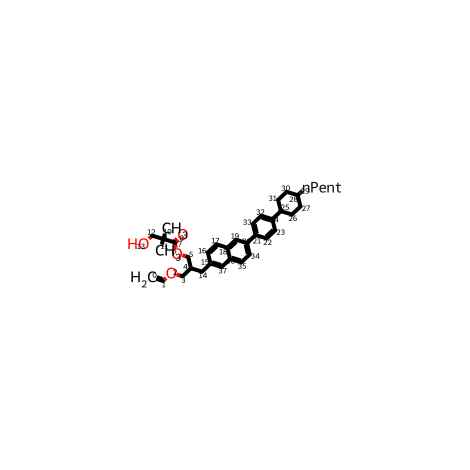 C=COCC(COC(=O)C(C)(C)CO)Cc1ccc2cc(-c3ccc(C4CCC(CCCCC)CC4)cc3)ccc2c1